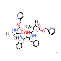 CC(C)[C@H](NC(=O)OCc1ccccn1)C(=O)NC(Cc1ccccc1)C(O)C(Cc1ccccc1)NC(=O)[C@@H](NC(=O)OCc1ccccn1)C(C)C